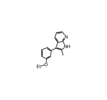 CCOc1cccc(-c2c(C)[nH]c3ncccc23)c1